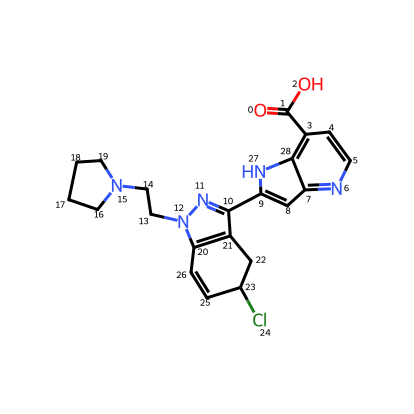 O=C(O)c1ccnc2cc(-c3nn(CCN4CCCC4)c4c3CC(Cl)C=C4)[nH]c12